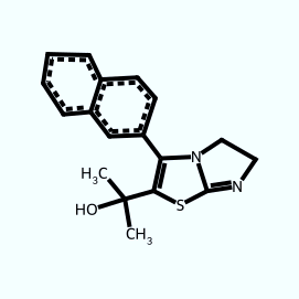 CC(C)(O)C1=C(c2ccc3ccccc3c2)N2CCN=C2S1